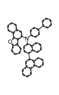 c1ccc(-c2ccc(N(c3ccc(-c4cc5ccccc5c5ccccc45)c4ccccc34)c3cc4ccccc4c4oc5ccccc5c34)cc2)cc1